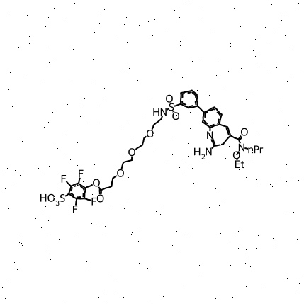 CCCN(OCC)C(=O)C1=Cc2ccc(-c3cccc(S(=O)(=O)NCCOCCOCCOCCC(=O)Oc4c(F)c(F)c(S(=O)(=O)O)c(F)c4F)c3)cc2N=C(N)C1